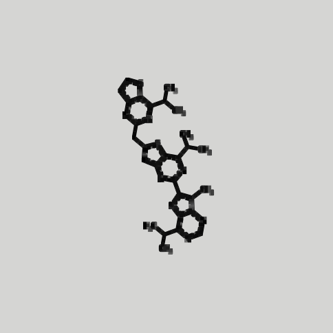 Cc1c(-c2nc(C(C)C)c3sc(Cc4nc(C(C)C)c5sccc5n4)cc3n2)sc2c(C(C)C)ncnc12